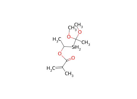 C=C(C)C(=O)OC(C)[SiH2]C(C)(OC)OC